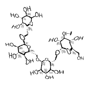 OC[C@H]1O[C@H](OC[C@H]2O[C@H](OC[C@H]3O[C@H](OC[C@H]4OC(O)[C@H](O)[C@@H](O)[C@@H]4O)[C@H](O)[C@@H](O)[C@@H]3O)[C@H](O)[C@@H](O)[C@@H]2O)[C@H](O)[C@@H](O)[C@@H]1O